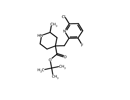 CC1CC(Cc2nc(Cl)ccc2F)(C(=O)OC(C)(C)C)CCN1